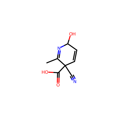 CC1=NC(O)C=CC1(C#N)C(=O)O